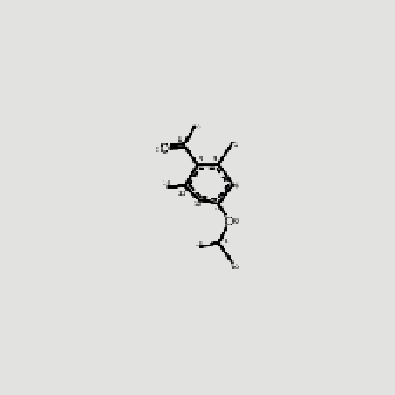 CC(=O)c1c(C)cc(OC(C)C)cc1C